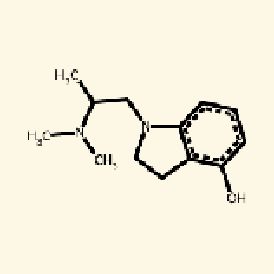 CC(CN1CCc2c(O)cccc21)N(C)C